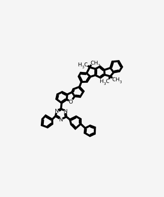 CC1(C)c2ccccc2-c2cc3c(cc21)-c1cc(-c2ccc4oc5c(-c6nc(-c7ccccc7)nc(-c7ccc(-c8ccccc8)cc7)n6)cccc5c4c2)ccc1C3(C)C